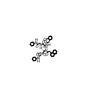 C[C@H](NC(=O)Cc1cccc2ccccc12)C(=O)NCC(=O)Nc1ccccc1.C[C@H](NC(=O)Cc1ccccc1Cl)C(=O)NCC(=O)Nc1ccccc1